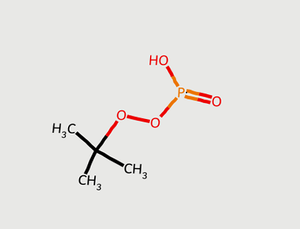 CC(C)(C)OO[P](=O)O